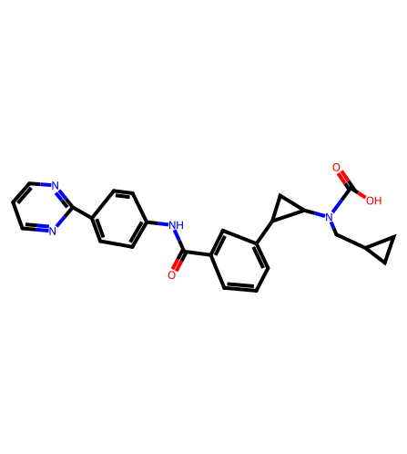 O=C(Nc1ccc(-c2ncccn2)cc1)c1cccc(C2CC2N(CC2CC2)C(=O)O)c1